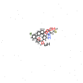 COC(c1ccc(C(=O)NC(CCSC)C(=O)O)c(-c2cccc3ccccc23)c1)c1ccc(-c2ccc(F)cc2)o1.[LiH]